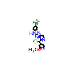 COc1cc(C(Cl)c2nccc3nc(Nc4ccc(C(F)(F)F)cc4)nn23)ccn1